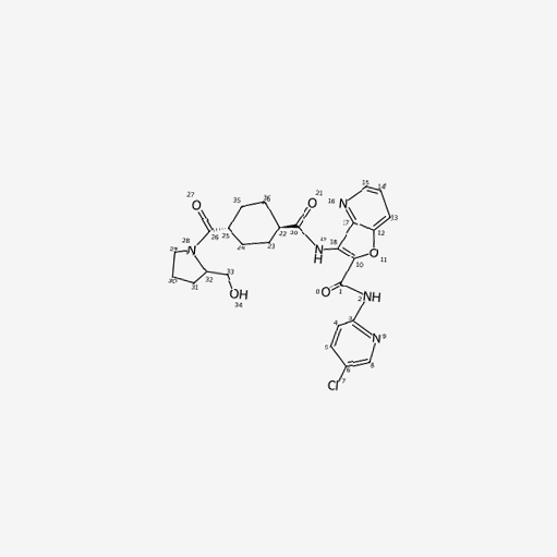 O=C(Nc1ccc(Cl)cn1)c1oc2cccnc2c1NC(=O)[C@H]1CC[C@H](C(=O)N2CCCC2CO)CC1